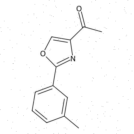 CC(=O)c1coc(-c2cccc(C)c2)n1